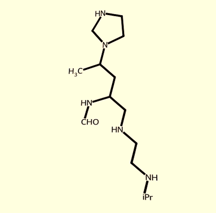 CC(C)NCCNCC(CC(C)N1CCNC1)NC=O